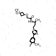 C=C(CCn1cnc(-c2ccc(F)c(C)c2)c1)NC(=O)CO[C@H]1C[C@@H](OC(F)(F)F)C1